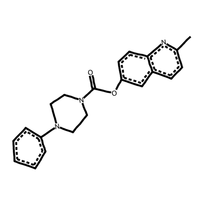 Cc1ccc2cc(OC(=O)N3CCN(c4ccccc4)CC3)ccc2n1